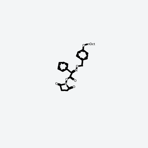 CCCCCCCCOc1ccc(CO/N=C(/C(=O)ON2C(=O)CCC2=O)c2ccccc2)cc1